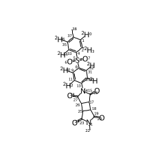 [2H]c1c([2H])c(S(=O)(=O)c2c([2H])c([2H])c(N3C(=O)C4C5C(=O)N(C)C(=O)C5C4C3=O)c([2H])c2[2H])c([2H])c([2H])c1C